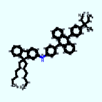 CCCCCCC1(CCCCCC)c2ccccc2-c2ccc(Nc3ccc(-c4c5ccccc5c(-c5ccc(C(C)(CC)CC)cc5)c5ccccc45)cc3)cc21